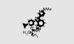 CNc1ccc(-c2nn(C3CCN(C4CC4)CC3)c3c2CCCc2nc(NC(=O)N(C)C)sc2-3)cn1